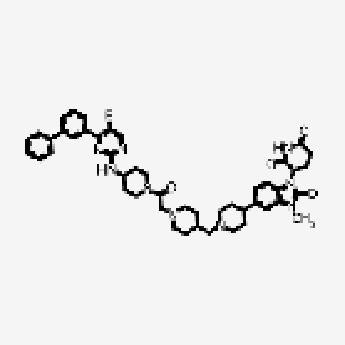 Cn1c(=O)n(C2CCC(=O)NC2=O)c2ccc(C3CCN(CC4CCN(CC(=O)N5CCC(Nc6ncc(F)c(-c7cccc(-c8ccccc8)c7)n6)CC5)CC4)CC3)cc21